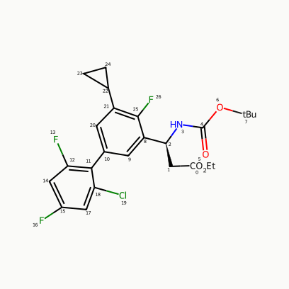 CCOC(=O)C[C@H](NC(=O)OC(C)(C)C)c1cc(-c2c(F)cc(F)cc2Cl)cc(C2CC2)c1F